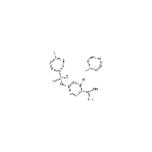 Cc1ccc(S(=O)(=O)Oc2ccc(B(O)O)c(OCc3ccccc3)c2)cc1